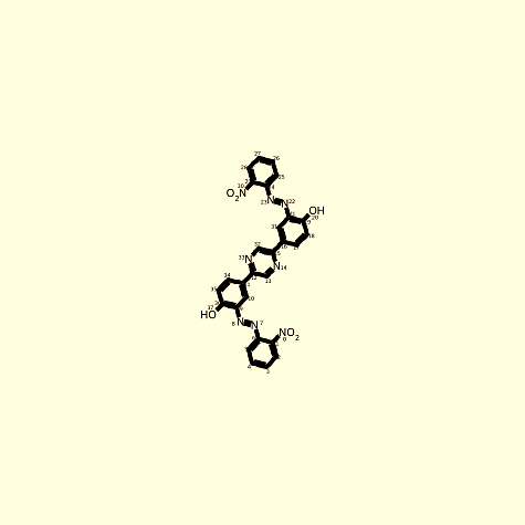 O=[N+]([O-])c1ccccc1N=Nc1cc(-c2cnc(-c3ccc(O)c(N=Nc4ccccc4[N+](=O)[O-])c3)cn2)ccc1O